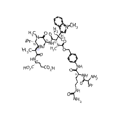 C/C(=C\[C@H](C(C)C)N(C)C(=O)[C@@H](NC(=O)[C@@H](N(C)C(=O)OCc1ccc(NC(=O)[C@H](CCCNC(N)=O)NC(=O)C(N)C(C)C)cc1)C(C)(C)c1cn(C)c2ccccc12)C(C)(C)C)C(=O)N[C@H](CCC(=O)O)C(=O)O